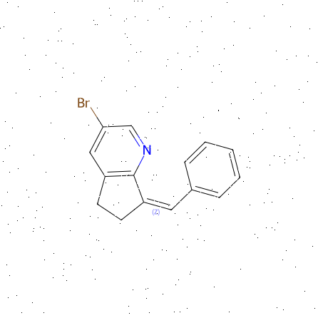 Brc1cnc2c(c1)CC/C2=C/c1ccccc1